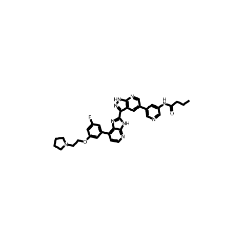 CCCC(=O)Nc1cncc(-c2cnc3[nH]nc(-c4nc5c(-c6cc(F)cc(OCCN7CCCC7)c6)ccnc5[nH]4)c3c2)c1